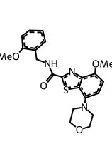 COc1ccccc1CNC(=O)c1nc2c(OC)ccc(N3CCOCC3)c2s1